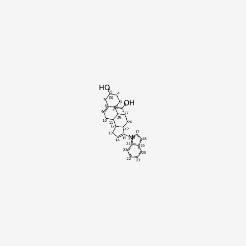 OC[C@]12CC[C@H](O)CC1=CCC1C3CC=C(n4ccc5ccccc54)C3CCC12